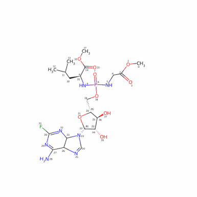 COC(=O)CNP(=O)(N[C@@H](CC(C)C)C(=O)OC)OC[C@H]1O[C@@H](N2C=NC3C(N)=NC(F)=NC32)[C@@H](O)[C@@H]1O